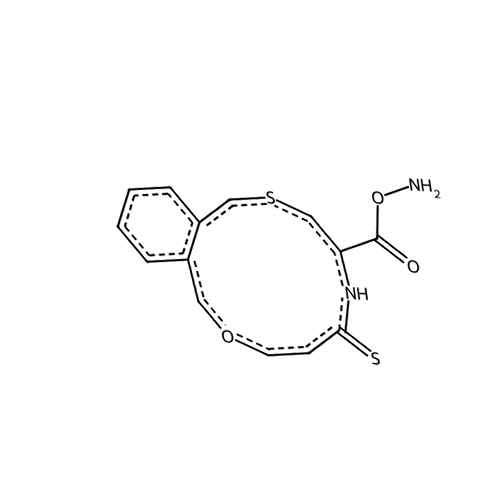 NOC(=O)c1cscc2ccccc2coccc(=S)[nH]1